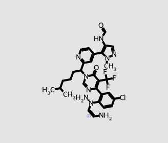 CC(C)CCCC(c1cc(-c2c(NC=O)cnn2C)ccn1)n1cnc(-c2cc(Cl)ccc2N(N)/C=C\N)c(C(F)(F)F)c1=O